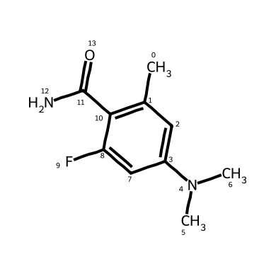 Cc1cc(N(C)C)cc(F)c1C(N)=O